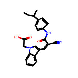 CCC(C)c1ccc(NC(=O)C(C#N)=Cc2cn(CC(=O)O)c3ccccc23)cc1